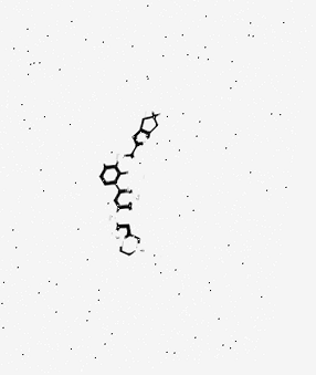 Cc1c(-c2cc(Nc3cc4n(n3)CCN(C)C4)c(=O)[nH]n2)ccc(F)c1NC(=O)c1cc2c(s1)CC(C)(C)C2